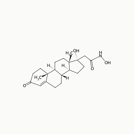 C[C@]12CCC(=O)C=C1CC[C@@H]1[C@@H]2CC[C@@]2(C)[C@H]1CC[C@]2(O)CC(=O)NO